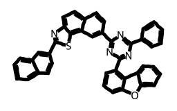 c1ccc(-c2nc(-c3ccc4ccc5nc(-c6ccc7ccccc7c6)sc5c4c3)nc(-c3cccc4oc5ccccc5c34)n2)cc1